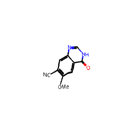 COc1cc2c(=O)[nH]cnc2cc1C#N